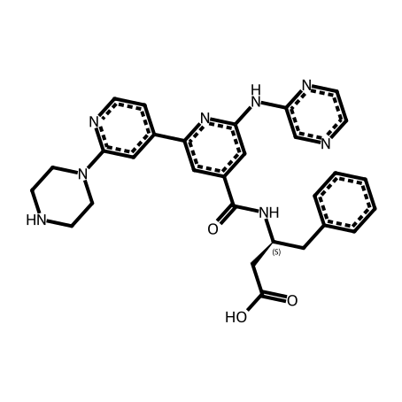 O=C(O)C[C@H](Cc1ccccc1)NC(=O)c1cc(Nc2cnccn2)nc(-c2ccnc(N3CCNCC3)c2)c1